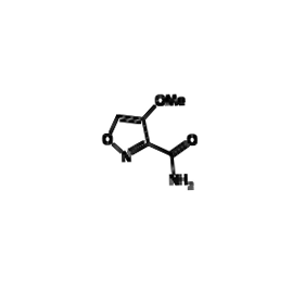 COc1conc1C(N)=O